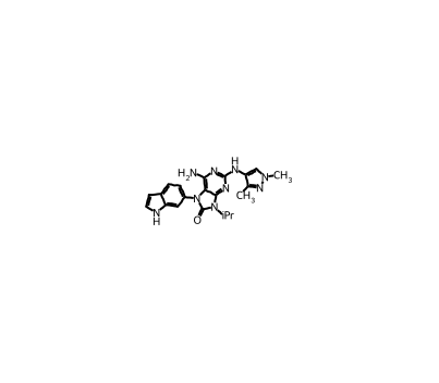 Cc1nn(C)cc1Nc1nc(N)c2c(n1)n(C(C)C)c(=O)n2-c1ccc2cc[nH]c2c1